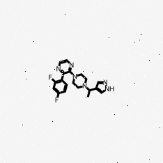 CC(c1cn[nH]c1)N1CCN(c2nccnc2-c2ccc(F)cc2F)CC1